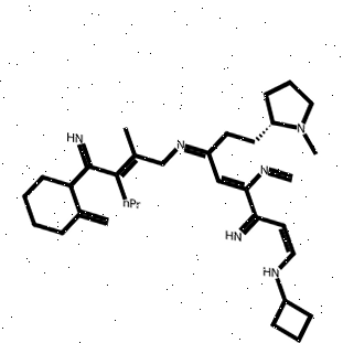 C=N/C(=C\C(CC[C@@H]1CCCN1C)=N/C/C(C)=C(\CCC)C(=N)C1CCCCC1=C)C(=N)/C=C\NC1CCC1